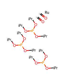 CC(C)OP(OC(C)C)OC(C)C.CC(C)OP(OC(C)C)OC(C)C.CC(C)OP(OC(C)C)OC(C)C.[C]=O.[C]=O.[Ru]